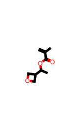 C=C(C)C(=O)OC(C)C1COC1